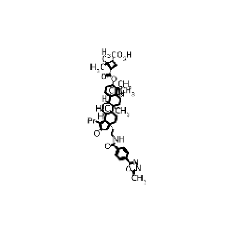 Cc1nnc(-c2ccc(C(=O)NCC[C@@]34CC[C@]5(C)[C@H](CC[C@@H]6[C@@]7(C)CC[C@H](OC(=O)[C@H]8C[C@@H](C(=O)O)C8(C)C)C(C)(C)[C@@H]7CC[C@]65C)C3=C(C(C)C)C(=O)C4)cc2)o1